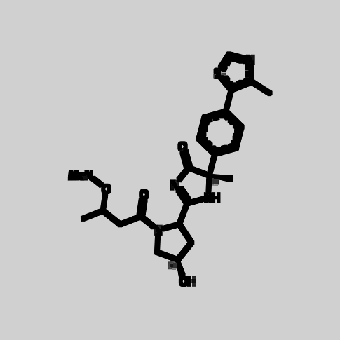 CNOC(C)CC(=O)N1C[C@H](O)CC1C1=NC(=O)[C@](C)(c2ccc(-c3scnc3C)cc2)N1